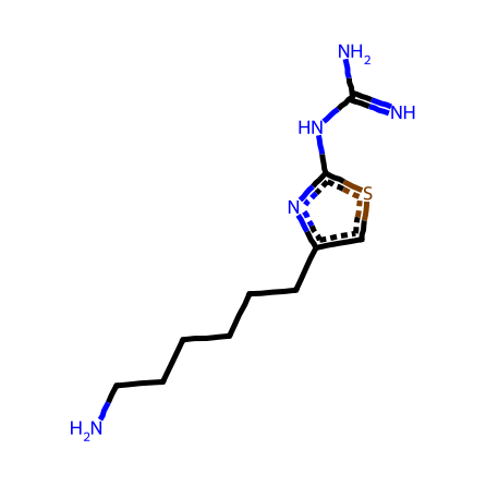 N=C(N)Nc1nc(CCCCCCN)cs1